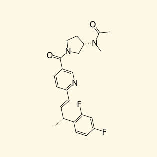 CC(=O)N(C)[C@H]1CCN(C(=O)c2ccc(/C=C/[C@@H](C)c3ccc(F)cc3F)nc2)C1